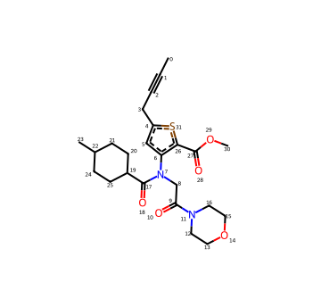 CC#CCc1cc(N(CC(=O)N2CCOCC2)C(=O)C2CCC(C)CC2)c(C(=O)OC)s1